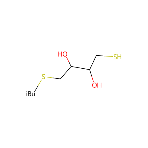 CCC(C)SCC(O)C(O)CS